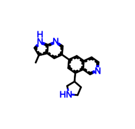 Cc1c[nH]c2ncc(-c3cc(C4CCNC4)c4cnccc4c3)cc12